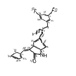 O=C1Nc2ccc(NCc3cc(F)cc(F)c3)cc2C1=Cc1cccs1